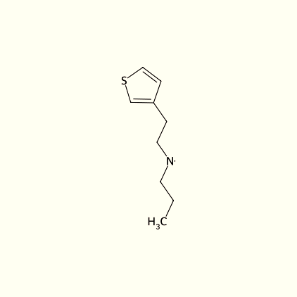 CCC[N]CCc1ccsc1